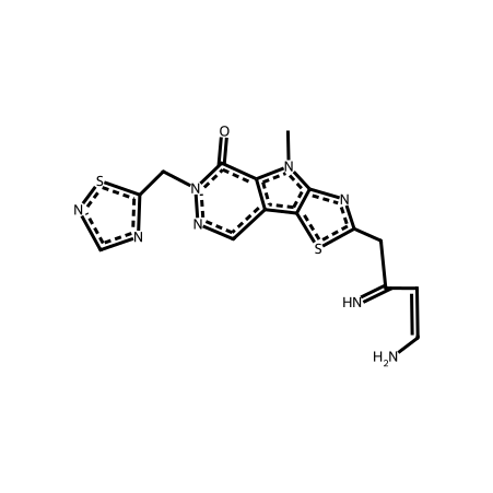 Cn1c2nc(CC(=N)/C=C\N)sc2c2cnn(Cc3ncns3)c(=O)c21